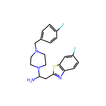 NC(Cc1nc2ccc(F)cc2s1)N1CCN(Cc2ccc(F)cc2)CC1